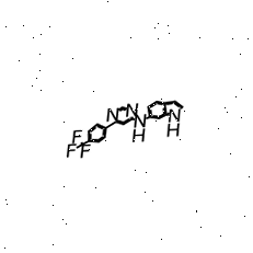 FC(F)(F)c1ccc(-c2cc(Nc3ccc4cc[nH]c4c3)ncn2)cc1